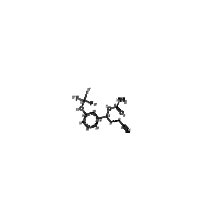 N#CCCC(OC(N)=O)c1cccc(OC(F)(F)F)c1